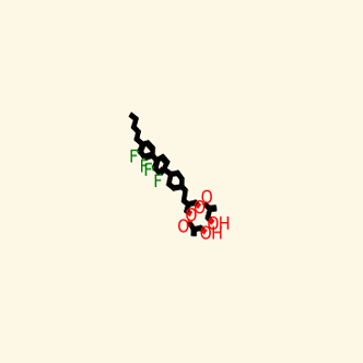 C=C(CO)C(=O)OCC(CCC1CCC(c2ccc(-c3ccc(CCCCC)c(F)c3F)c(F)c2F)CC1)COC(=O)C(=C)CO